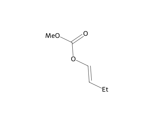 CC/C=C/OC(=O)OC